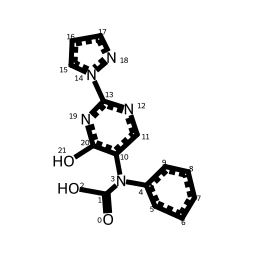 O=C(O)N(c1ccccc1)c1cnc(-n2cccn2)nc1O